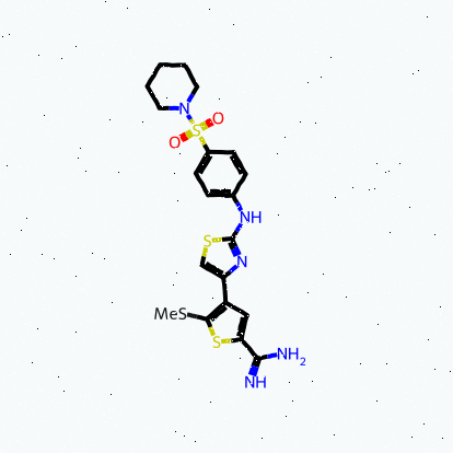 CSc1sc(C(=N)N)cc1-c1csc(Nc2ccc(S(=O)(=O)N3CCCCC3)cc2)n1